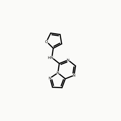 c1coc(Nc2ncnc3ccnn23)c1